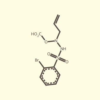 C=CCN(NS(=O)(=O)c1ccccc1Br)OC(=O)O